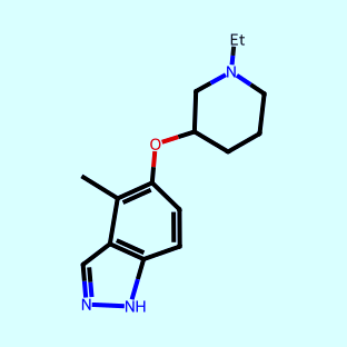 CCN1CCCC(Oc2ccc3[nH]ncc3c2C)C1